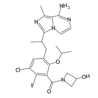 Cc1nc(C(C)Cc2cc(Cl)c(F)c(C(=O)N3CC(O)C3)c2OC(C)C)n2ccnc(N)c12